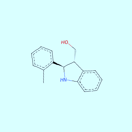 Cc1ccccc1[C@@H]1Nc2ccccc2[C@H]1CO